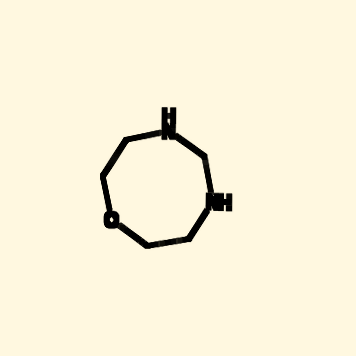 C1COCCNCN1